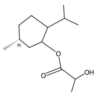 CC(O)C(=O)OC1C[C@H](C)CCC1C(C)C